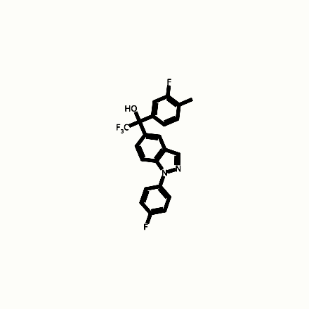 Cc1ccc(C(O)(c2ccc3c(cnn3-c3ccc(F)cc3)c2)C(F)(F)F)cc1F